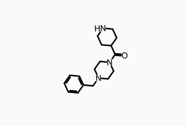 O=C(C1CCNCC1)N1CCN(Cc2ccccc2)CC1